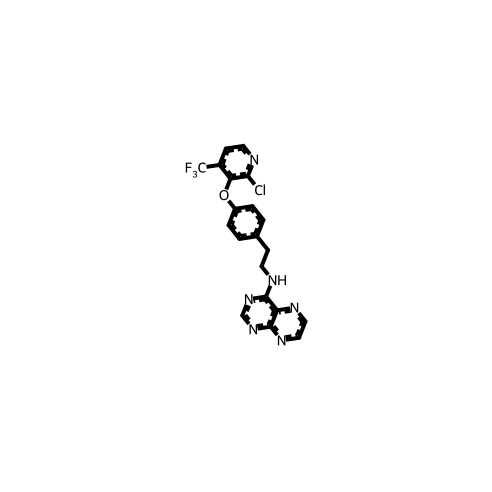 FC(F)(F)c1ccnc(Cl)c1Oc1ccc(CCNc2ncnc3nccnc23)cc1